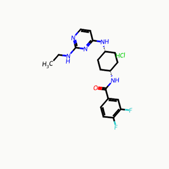 CCNc1nccc(N[C@H]2CC[C@@H](NC(=O)c3ccc(F)c(F)c3)CC2)n1.Cl